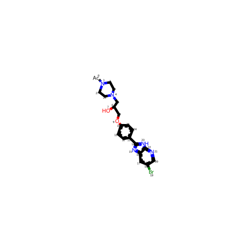 CC(=O)N1CCN(CC(O)COc2ccc(-c3nc4cc(Br)cnc4[nH]3)cc2)CC1